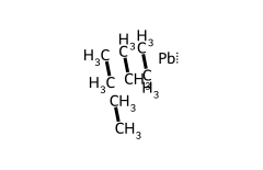 CC.CC.CC.CC.[Pb]